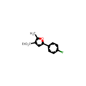 CCOC(=O)c1cc(-c2ccc(F)cc2)oc1C